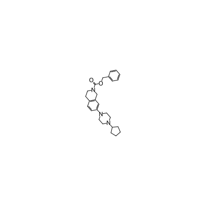 O=C(OCc1ccccc1)N1CCc2ccc(N3CCN(C4CCCC4)CC3)cc2C1